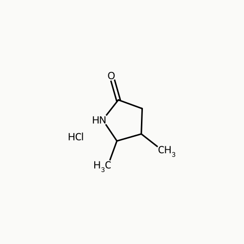 CC1CC(=O)NC1C.Cl